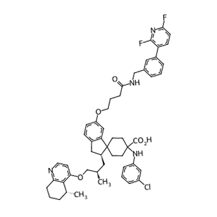 C[C@@H](COc1ccnc2c1[C@H](C)CCC2)C[C@H]1Cc2ccc(OCCCC(=O)NCc3cccc(-c4ccc(F)nc4F)c3)cc2C12CCC(Nc1cccc(Cl)c1)(C(=O)O)CC2